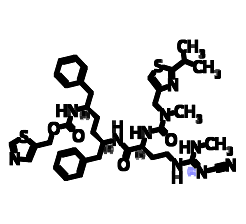 CN/C(=N\C#N)NCC[C@H](NC(=O)N(C)Cc1csc(C(C)C)n1)C(=O)N[C@H](CC[C@H](Cc1ccccc1)NC(=O)OCc1cncs1)Cc1ccccc1